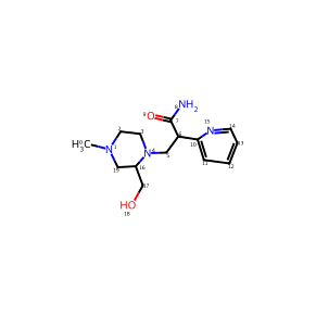 CN1CCN(CC(C(N)=O)c2ccccn2)C(CO)C1